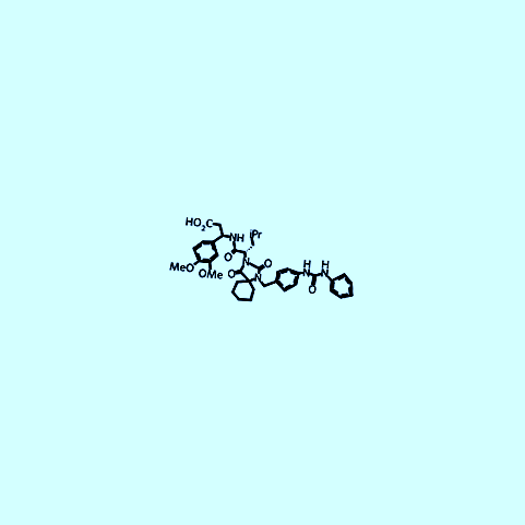 COc1ccc(C(CC(=O)O)NC(=O)[C@H](CC(C)C)N2C(=O)N(Cc3ccc(NC(=O)Nc4ccccc4)cc3)C3(CCCCC3)C2=O)cc1OC